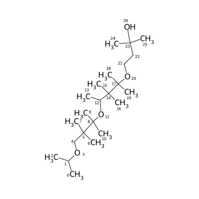 CC(C)OCC(C)(C)C(C)(C)OC(C)C(C)(C)C(C)(C)OCCC(C)(C)O